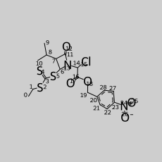 CCSC(=S)SC1C(C(C)C)C(=O)N1C(Cl)C(=O)OCc1ccc([N+](=O)[O-])cc1